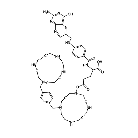 Nc1nc(O)c2nc(CNc3ccc(C(=O)NC(CCC(=O)ON4CCCN(Cc5ccc(CN6CCCNCCNCCCNCC6)cc5)CCNCCCNCC4)C(=O)O)cc3)cnc2n1